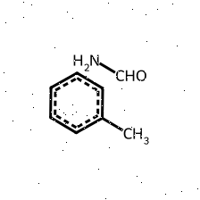 Cc1ccccc1.NC=O